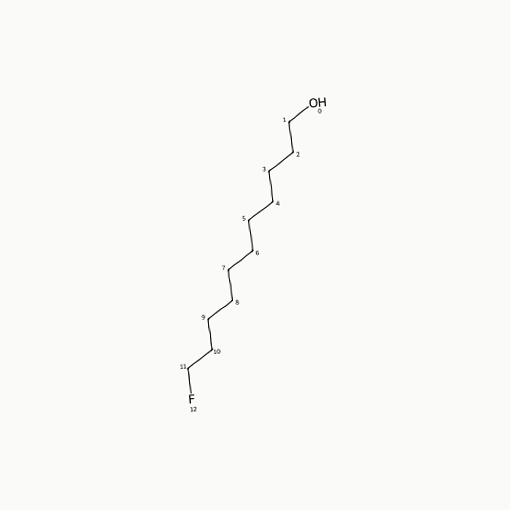 OCCCCCCCCCCCF